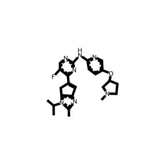 Cc1nc2c(n1C(C)C)CC(c1nc(Nc3ccc(OC4CCN(C)C4)cn3)ncc1F)=C2